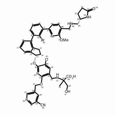 COc1nc(-c2cccc(-c3cccc4c3CC[C@@H]4Oc3nc(OCc4cncc(C#N)c4)c(CN[C@@](C)(CO)C(=O)O)cc3Cl)c2Br)ccc1CNC[C@@H]1CCC(=O)N1